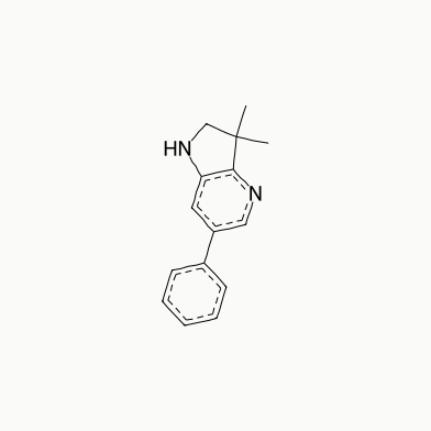 CC1(C)CNc2cc(-c3ccccc3)cnc21